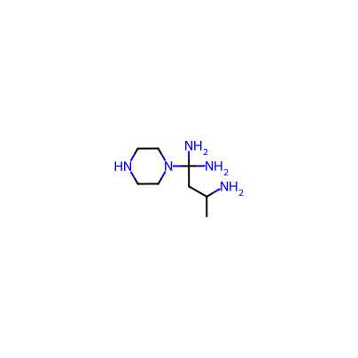 CC(N)CC(N)(N)N1CCNCC1